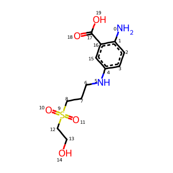 Nc1ccc(NCCCS(=O)(=O)CCO)cc1C(=O)O